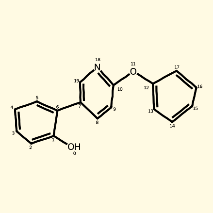 Oc1ccccc1-c1ccc(Oc2ccccc2)nc1